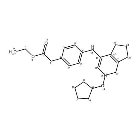 CCOC(=O)Cc1ccc(NC2=CN(OC3CCCC3)CC3=C2CCC3)cc1